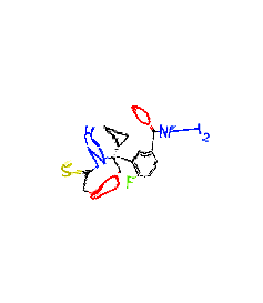 NC(=O)c1ccc(F)c([C@@]2(C3CC3)COCC(=S)N2)c1